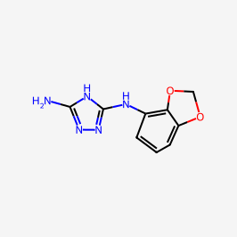 Nc1nnc(Nc2cccc3c2OCO3)[nH]1